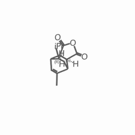 CC1=CC2[C@@H](C(C)C)CC1[C@@H]1C(=O)OC(=O)[C@H]21